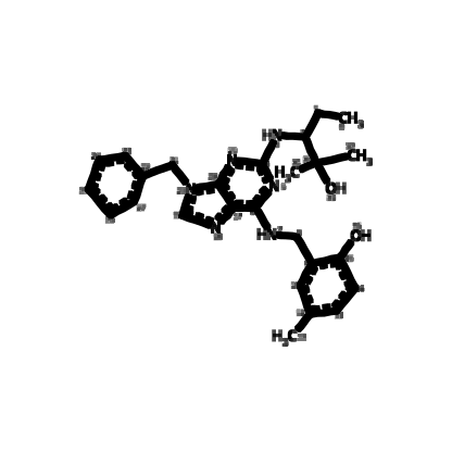 CCC(Nc1nc(NCc2cc(C)ccc2O)c2ncn(Cc3ccccc3)c2n1)C(C)(C)O